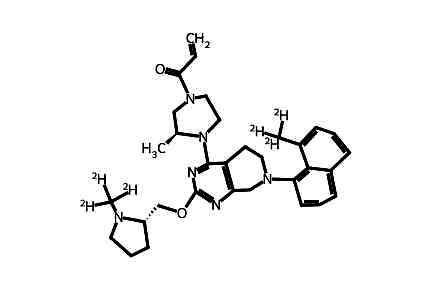 [2H]C([2H])([2H])c1cccc2cccc(N3CCc4c(nc(OC[C@@H]5CCCN5C([2H])([2H])[2H])nc4N4CCN(C(=O)C=C)C[C@@H]4C)C3)c12